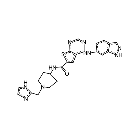 O=C(NC1CCN(Cc2ncc[nH]2)CC1)c1cc2c(Nc3ccc4cn[nH]c4c3)ncnc2s1